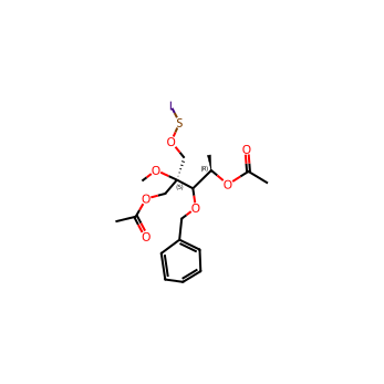 CO[C@](COSI)(COC(C)=O)C(OCc1ccccc1)[C@@H](C)OC(C)=O